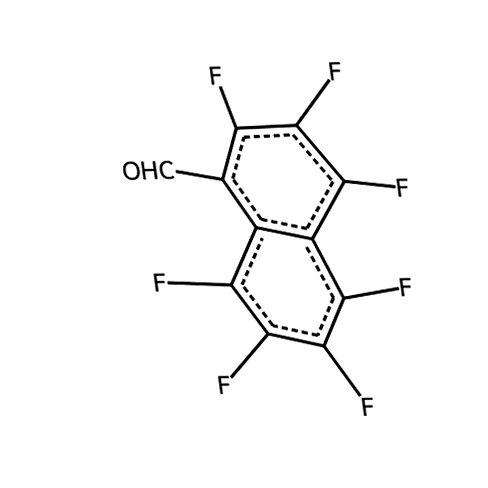 O=Cc1c(F)c(F)c(F)c2c(F)c(F)c(F)c(F)c12